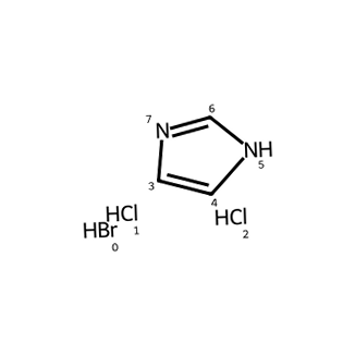 Br.Cl.Cl.c1c[nH]cn1